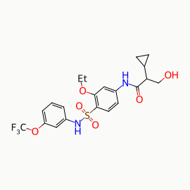 CCOc1cc(NC(=O)C(CO)C2CC2)ccc1S(=O)(=O)Nc1cccc(OC(F)(F)F)c1